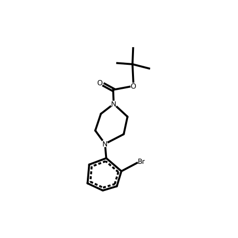 CC(C)(C)OC(=O)N1CCN(c2ccccc2Br)CC1